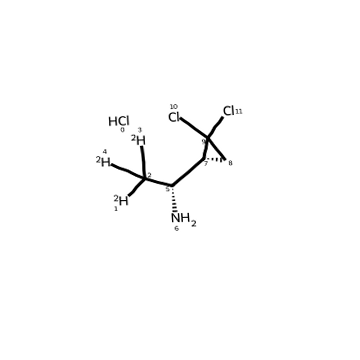 Cl.[2H]C([2H])([2H])[C@@H](N)[C@H]1CC1(Cl)Cl